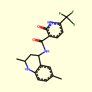 Cc1ccc2c(c1)C(NC(=O)c1ccc(C(F)(F)F)[nH]c1=O)CC(C)N2